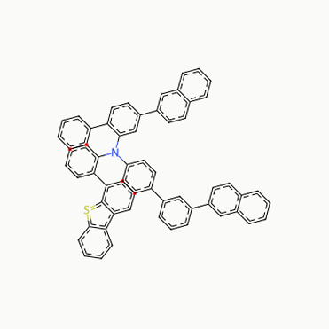 c1ccc(-c2ccc(-c3ccc4ccccc4c3)cc2N(c2ccc(-c3cccc(-c4ccc5ccccc5c4)c3)cc2)c2ccccc2-c2cccc3c2sc2ccccc23)cc1